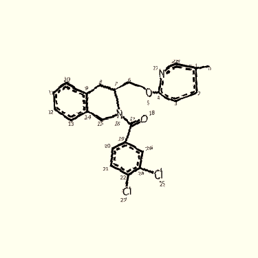 Cc1ccc(OC[C@@H]2Cc3ccccc3CN2C(=O)c2ccc(Cl)c(Cl)c2)nc1